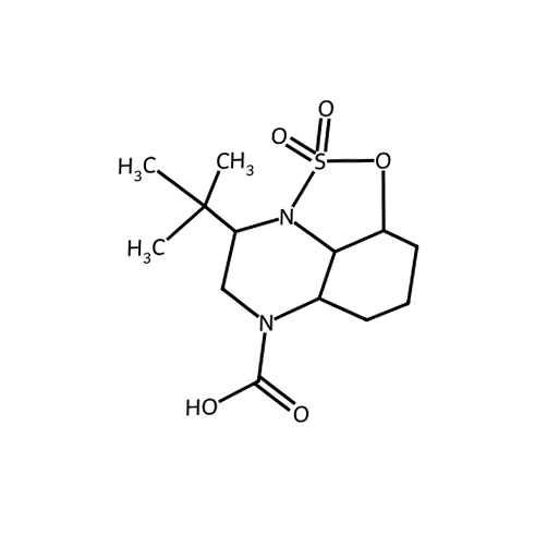 CC(C)(C)C1CN(C(=O)O)C2CCCC3OS(=O)(=O)N1C32